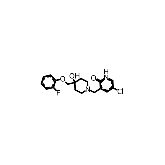 O=c1[nH]cc(Cl)cc1CN1CCC(O)(COc2ccccc2F)CC1